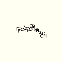 Cn1c(Cc2c(Cl)ccc(C(=O)N3CCN(C4CC(C(=O)O)C4)CC3)c2Cl)cc2ccc(C(F)(F)F)cc21